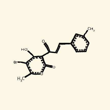 Cc1cccc(/C=C/C(=O)c2c(O)c(Br)c(C)oc2=O)c1